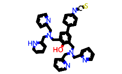 Oc1c(CN(CC2=CC=CCN2)Cc2ccccn2)cc(-c2ccc(N=C=S)cc2)cc1CN(Cc1ccccn1)Cc1ccccn1